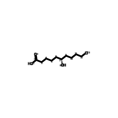 O=C(O)CCCC[C@@H](O)CCCCCl